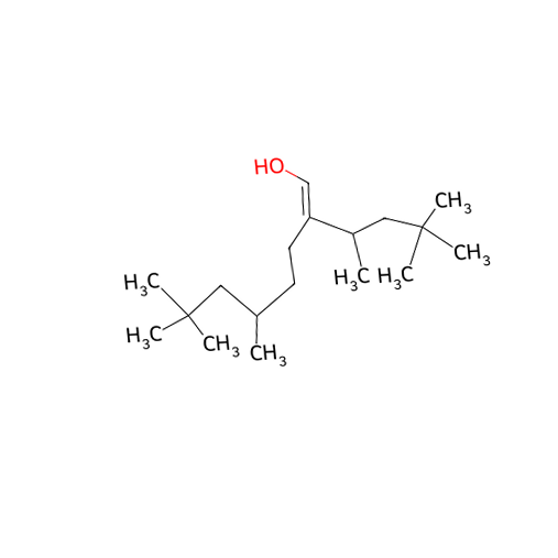 CC(CC/C(=C\O)C(C)CC(C)(C)C)CC(C)(C)C